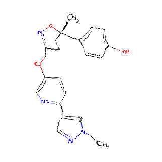 Cn1cc(-c2ccc(OC3=NO[C@](C)(c4ccc(O)cc4)C3)cn2)cn1